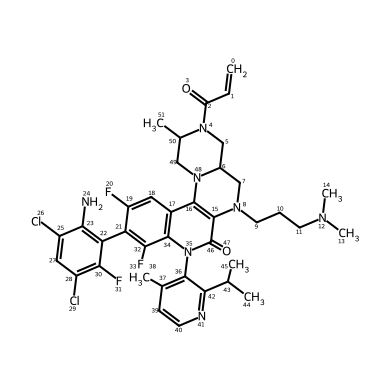 C=CC(=O)N1CC2CN(CCCN(C)C)c3c(c4cc(F)c(-c5c(N)c(Cl)cc(Cl)c5F)c(F)c4n(-c4c(C)ccnc4C(C)C)c3=O)N2CC1C